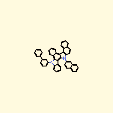 c1ccc(-c2cccc(-n3c4ccccc4c4c3c3ccccc3c3c5c6ccccc6ccc5n(-c5ccc6ccccc6c5)c34)c2)cc1